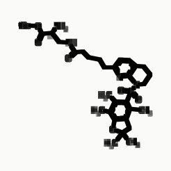 Cc1c(C)c(S(=O)(=O)N2CCCc3ccc(CCCCC(=O)NC[C@H](N)C(=O)OC(C)(C)C)nc32)c(C)c2c1OC(C)(C)C2